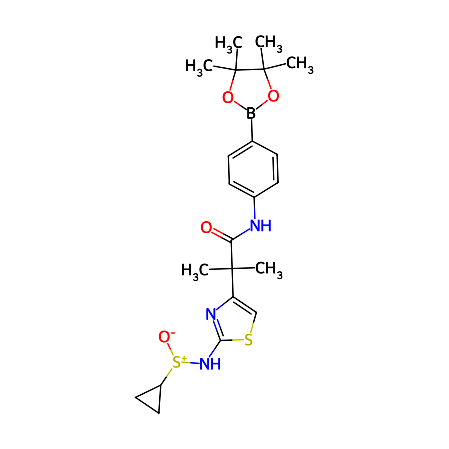 CC(C)(C(=O)Nc1ccc(B2OC(C)(C)C(C)(C)O2)cc1)c1csc(N[S+]([O-])C2CC2)n1